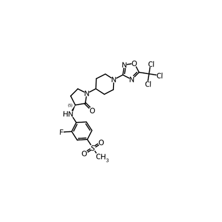 CS(=O)(=O)c1ccc(N[C@H]2CCN(C3CCN(c4noc(C(Cl)(Cl)Cl)n4)CC3)C2=O)c(F)c1